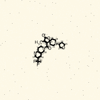 CC1=C(C(=O)N2CCc3ncc(C(F)(F)F)cc3C2)C2(CCN([C@H]3CCOC3)CC2)OC1=O